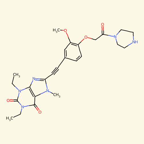 CCn1c(=O)c2c(nc(C#Cc3ccc(OCC(=O)N4CCNCC4)c(OC)c3)n2C)n(CC)c1=O